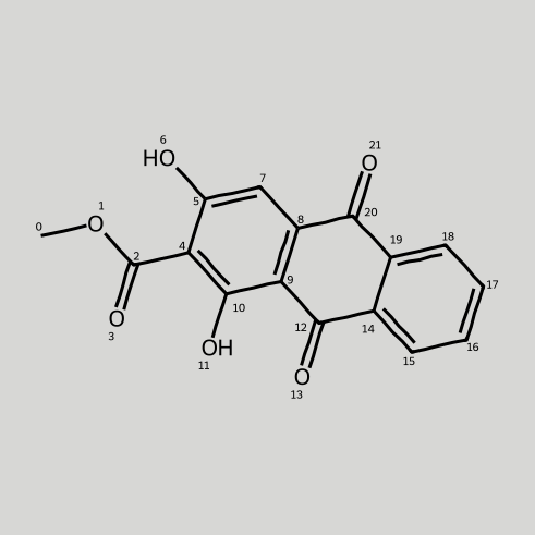 COC(=O)c1c(O)cc2c(c1O)C(=O)c1ccccc1C2=O